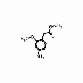 COC(=O)Cc1ccc(N)cc1OC